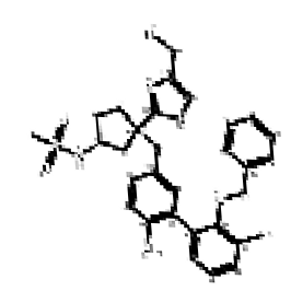 CS(=O)(=O)N[C@H]1CC[C@](Cc2ccc(C(F)(F)F)c(-c3cccc(F)c3OCc3ccccc3)c2)(c2nc(CCl)co2)C1